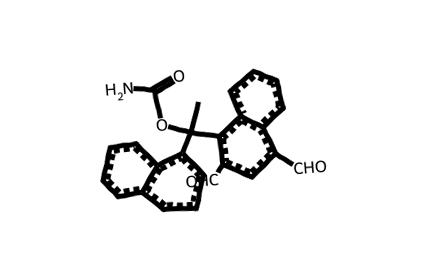 CC(OC(N)=O)(c1cccc2ccccc12)c1c(C=O)cc(C=O)c2ccccc12